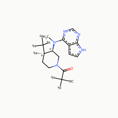 [2H]C([2H])([N+]#[C-])C(=O)N1CC[C@@]([2H])(C([2H])([2H])[2H])[C@@H](N(C)c2ncnc3[nH]ccc23)C1